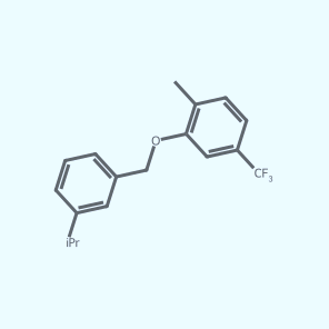 Cc1ccc(C(F)(F)F)cc1OCc1cccc(C(C)C)c1